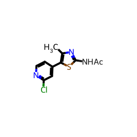 CC(=O)Nc1nc(C)c(-c2ccnc(Cl)c2)s1